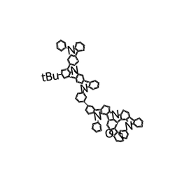 CC(C)(C)c1cc2c3cc4c(cc3n3c5cc6c7ccccc7n(-c7cccc(-c8ccc9c(c8)c8ccc%10c(c%11cc%12oc%13ccccc%13c%12c%12c%13c%14c(ccc%13n%10c%11%12)c%10ccccc%10n%14-c%10ccccc%10)c8n9-c8ccccc8)c7)c6cc5c(c1)c23)c1ccccc1n4-c1ccccc1